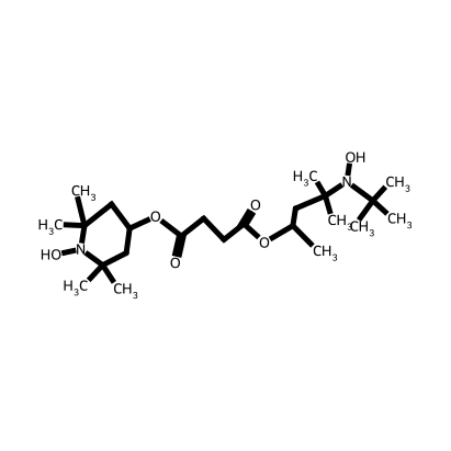 CC(CC(C)(C)N(O)C(C)(C)C)OC(=O)CCC(=O)OC1CC(C)(C)N(O)C(C)(C)C1